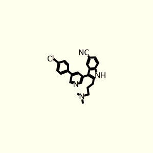 CN(C)CCCc1[nH]c2ccc(C#N)cc2c1-c1cncc(-c2ccc(Cl)cc2)c1